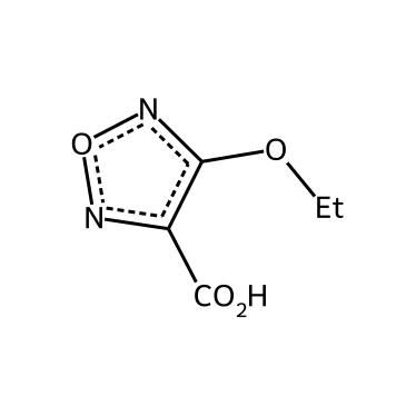 CCOc1nonc1C(=O)O